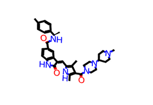 Cc1ccc([C@@H](C)NC(=O)c2ccc3c(c2)/C(=C/c2[nH]c(C)c(C(=O)N4CCN(C5CCN(C)CC5)CC4)c2C)C(=O)N3)cc1